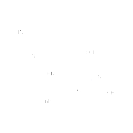 CCCC(=O)NC(Cc1c[nH]cn1)C(O)/C=N/C